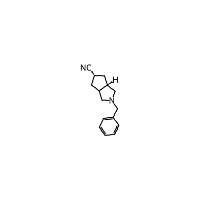 N#C[C@@H]1CC2CN(Cc3ccccc3)C[C@H]2C1